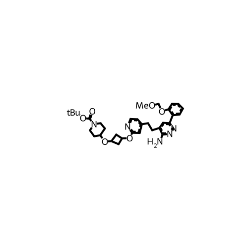 COCOc1ccccc1-c1cc(CCc2ccnc(OC3CC(OC4CCN(C(=O)OC(C)(C)C)CC4)C3)c2)c(N)nn1